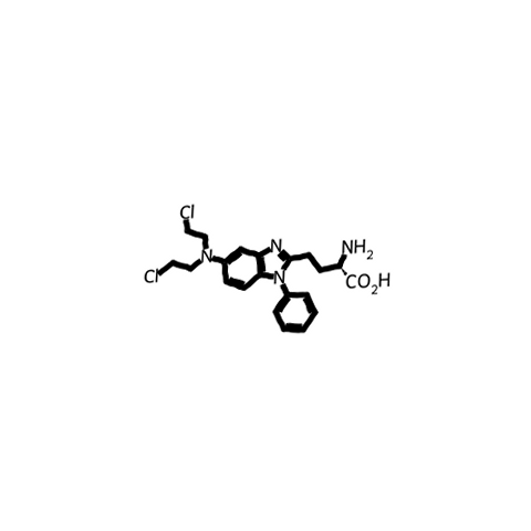 N[C@@H](CCc1nc2cc(N(CCCl)CCCl)ccc2n1-c1ccccc1)C(=O)O